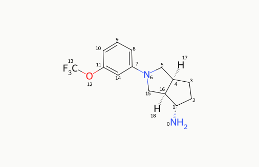 N[C@H]1CC[C@@H]2CN(c3cccc(OC(F)(F)F)c3)C[C@@H]21